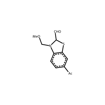 COCN1c2ccc(C(C)=O)cc2SC1C=O